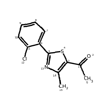 CC(=O)c1sc(-c2ccccc2Cl)nc1C